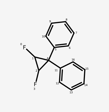 FC1C(F)C1(c1ccccc1)c1ccccc1